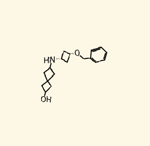 OC1CC2(C1)CC(N[C@H]1C[C@@H](OCc3ccccc3)C1)C2